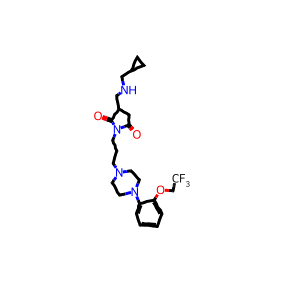 O=C1CC(CNCC2CC2)C(=O)N1CCCN1CCN(c2ccccc2OCC(F)(F)F)CC1